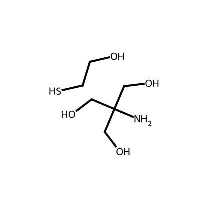 NC(CO)(CO)CO.OCCS